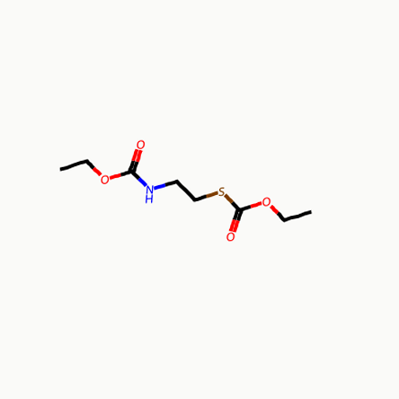 CCOC(=O)NCCSC(=O)OCC